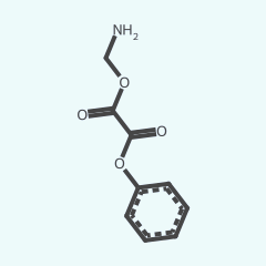 NCOC(=O)C(=O)Oc1ccccc1